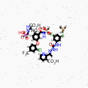 C/C(=N\NC(=O)Nc1cc(F)cc(F)c1)c1ncccc1C(=O)O.CS(=O)(=O)NC(=O)c1cc(Oc2ccc(C(F)(F)F)cc2Cl)ccc1[N+](=O)[O-].C[S+](C)C.O=C(O)CNCP(=O)([O-])O